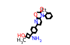 CCc1ccccc1N1C(=O)COc2nc(-c3ccc([C@]4(N)C[C@](C)(O)C4)cc3)ccc21